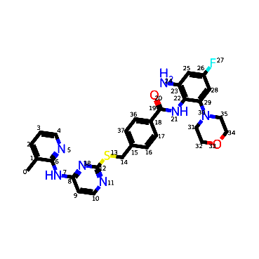 Cc1cccnc1Nc1ccnc(SCc2ccc(C(=O)Nc3c(N)cc(F)cc3N3CCOCC3)cc2)n1